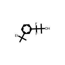 CCC(C)(C)c1cccc(C(F)(F)C(C)(C)O)c1